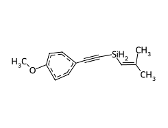 COc1ccc(C#C[SiH2]C=C(C)C)cc1